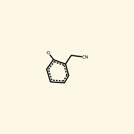 N#CCc1ccccc1[O]